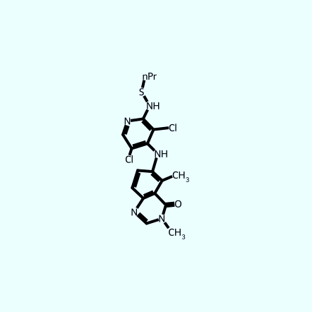 CCCSNc1ncc(Cl)c(Nc2ccc3ncn(C)c(=O)c3c2C)c1Cl